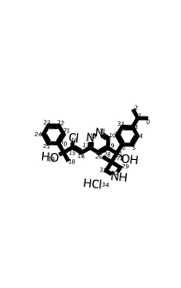 CC(C)c1ccc([C@](O)(c2cnnc(C=C(Cl)C(C)(O)c3ccccc3)c2)C2(C)CNC2)cc1.Cl